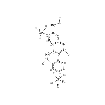 CCNc1cc2nc(C)nc(NC(C)c3cccc(S(F)(F)(F)(F)F)c3)c2cc1P(C)(C)=O